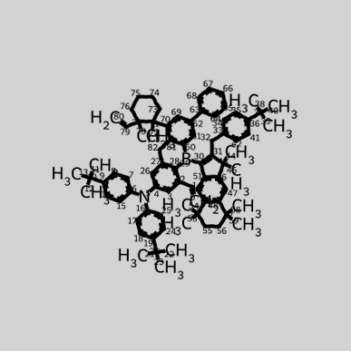 C=Cc1cc(N(c2ccc(C(C)(C)C)cc2)c2ccc(C(C)(C)C)cc2)cc2c1B(C1=C(Cc3ccc(C(C)(C)C)cc3)C(C)(C)c3cc4c(cc31)C(C)(C)CCC4(C)C)c1cc(-c3ccccc3)cc(C3(C)CCCCC3(C)C=C)c1C2